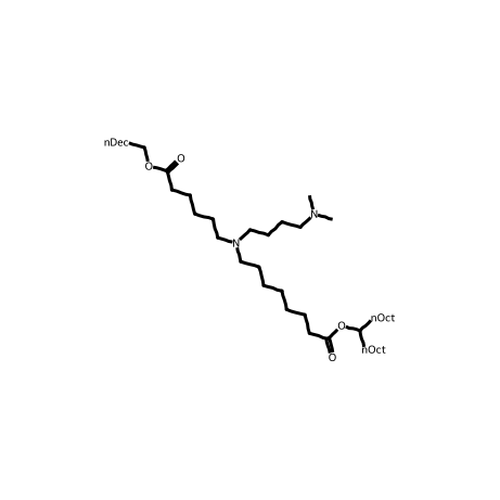 CCCCCCCCCCCOC(=O)CCCCCN(CCCCCCCC(=O)OC(CCCCCCCC)CCCCCCCC)CCCCN(C)C